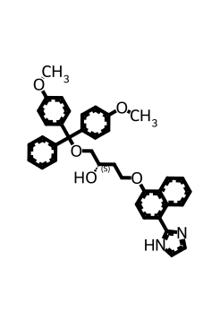 COc1ccc(C(OC[C@@H](O)CCOc2ccc(-c3ncc[nH]3)c3ccccc23)(c2ccccc2)c2ccc(OC)cc2)cc1